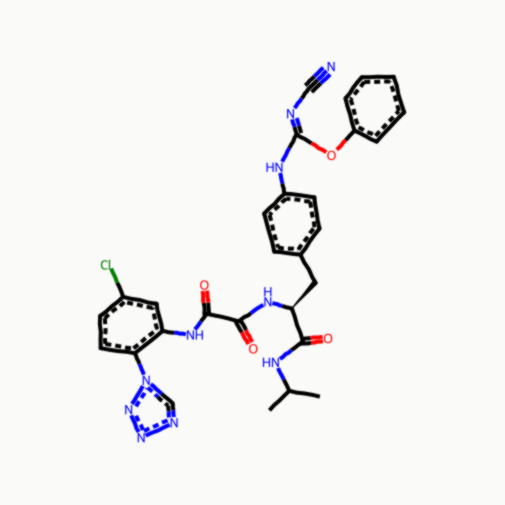 CC(C)NC(=O)[C@H](Cc1ccc(N/C(=N/C#N)Oc2ccccc2)cc1)NC(=O)C(=O)Nc1cc(Cl)ccc1-n1cnnn1